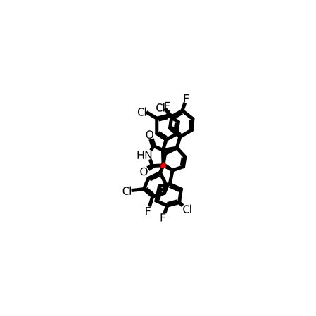 O=C1NC(=O)C2(c3ccc(F)c(Cl)c3)C3(c4ccc(F)c(Cl)c4)C=CC(c4ccc(F)c(Cl)c4)(CC3)C12c1ccc(F)c(Cl)c1